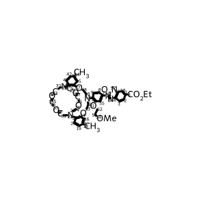 CCOC(=O)c1ccc(/N=N/c2ccc(N3CCOc4cc(C)ccc4N4CCOCCOCCN(CCOCCOCC4)c4ccc(C)cc4OCC3)c(OCCOC)c2)c([N+](=O)[O-])c1